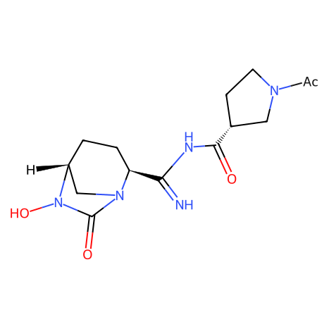 CC(=O)N1CC[C@@H](C(=O)NC(=N)[C@@H]2CC[C@@H]3CN2C(=O)N3O)C1